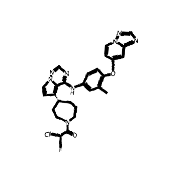 Cc1cc(Nc2ncnn3ccc([C@@H]4CCCN(C(=O)C(F)Cl)CC4)c23)ccc1Oc1ccn2ncnc2c1